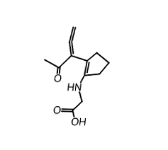 C=C=C(C(C)=O)C1=C(NCC(=O)O)CCC1